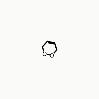 C1=CCOOC1